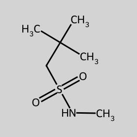 CNS(=O)(=O)CC(C)(C)C